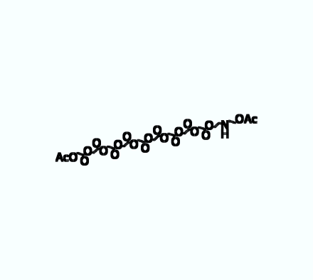 CC(=O)OCCNCCOC(=O)COC(=O)COC(=O)COC(=O)COC(=O)COC(=O)COC(=O)COC(=O)COC(=O)COC(C)=O